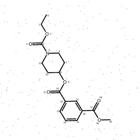 CCOC(=O)N1CCC(OC(=O)c2cccc(C(=O)OC)c2)CC1